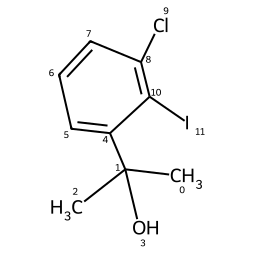 CC(C)(O)c1cccc(Cl)c1I